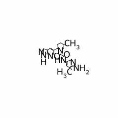 Cc1cc(NC(=O)C(=O)N2CC(C)CCC2c2cnc3[nH]ncc3c2)cnc1N